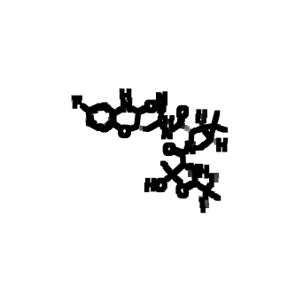 CC(F)(F)C(=O)N[C@H](C(=O)N1C[C@H]2[C@@H]([C@H]1C(=O)N[C@H](C#N)C[C@@H]1Oc3ccc(F)cc3NC1=O)C2(C)C)C(C)(C)O